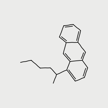 CCCCC(C)c1cccc2cc3ccccc3cc12